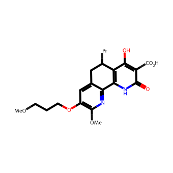 COCCCOc1cc2c(nc1OC)-c1[nH]c(=O)c(C(=O)O)c(O)c1C(C(C)C)C2